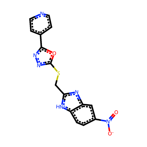 O=[N+]([O-])c1ccc2[nH]c(CSc3nnc(-c4ccncc4)o3)nc2c1